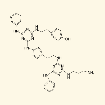 NCCCNc1nc(NCCc2ccc(Nc3nc(NCCc4ccc(O)cc4)nc(Nc4ccccc4)n3)cc2)nc(Nc2ccccc2)n1